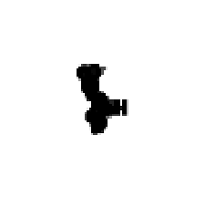 CC(C)(C)OC(=O)c1c[nH]c2ccc(Cc3ccc([N+](=O)[O-])cc3)cc12